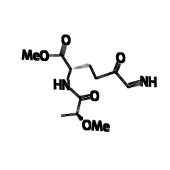 COC(=O)[C@H](CCC(=O)C=N)NC(=O)[C@H](C)OC